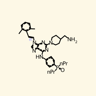 CCCP(=O)(CCC)c1ccc(Nc2nc(N3CCC(CN)CC3)nc3c2ncn3/C=C/c2c(C)cccc2C)cc1